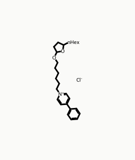 CCCCCCC1CCC(OCCCCCC[n+]2ccc(-c3ccccc3)cc2)O1.[Cl-]